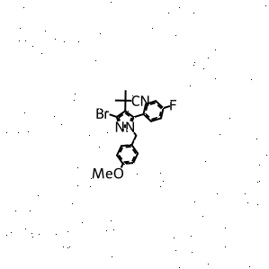 COc1ccc(Cn2nc(Br)c(C(C)(C)C#N)c2-c2ccc(F)cc2)cc1